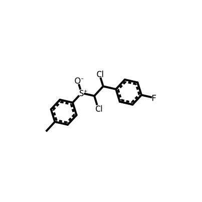 Cc1ccc([S+]([O-])C(Cl)C(Cl)c2ccc(F)cc2)cc1